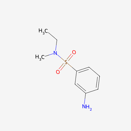 CCN(C)S(=O)(=O)c1cccc(N)c1